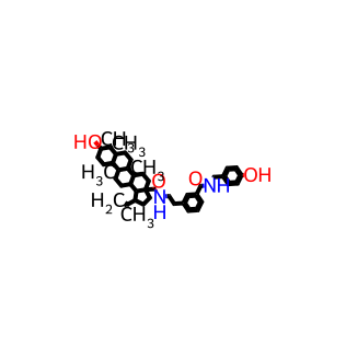 C=C(C)C1CCC2(C(=O)NCCc3cccc(C(=O)NCc4ccc(O)cc4)c3)CCC3C(CCC4C3(C)CCC3C(C)(C)C(O)CCC34C)C12